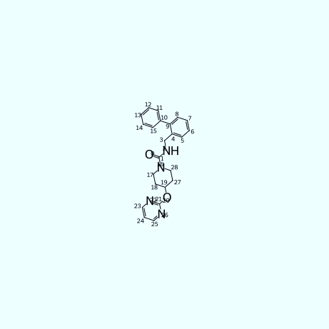 O=C(NCc1ccccc1-c1ccccc1)N1CCC(Oc2ncccn2)CC1